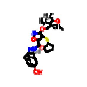 CC(=O)C(C)(C)COc1noc(C(=O)N[C@H]2C3CC4CC2C[C@](O)(C4)C3)c1SC1CCCC1